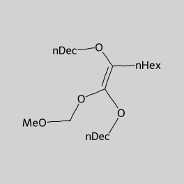 CCCCCCCCCCOC(CCCCCC)=C(OCCCCCCCCCC)OCOC